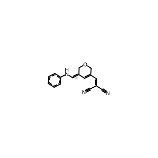 N#CC(C#N)=CC1=C/C(=C/Nc2ccccc2)COC1